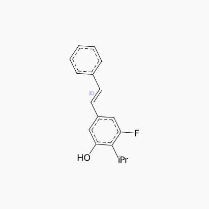 CC(C)c1c(O)cc(/C=C/c2ccccc2)cc1F